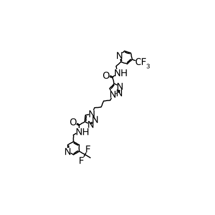 CC(F)(F)c1cncc(CNC(=O)c2cn(CCCCn3cc(C(=O)NCc4cc(C(F)(F)F)ccn4)nn3)nn2)c1